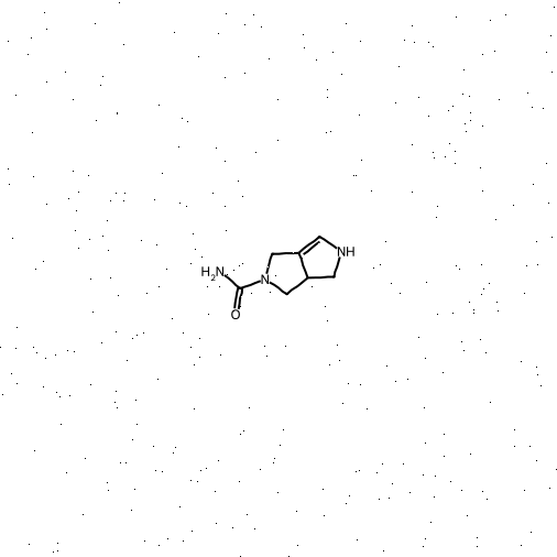 NC(=O)N1CC2=CNCC2C1